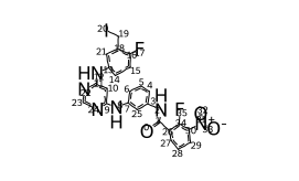 O=C(Nc1cccc(Nc2cc(Nc3ccc(F)c(CI)c3)ncn2)c1)c1cccc([N+](=O)[O-])c1F